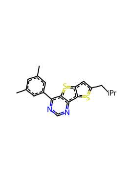 Cc1cc(C)cc(-c2ncnc3c2sc2cc(CC(C)C)sc23)c1